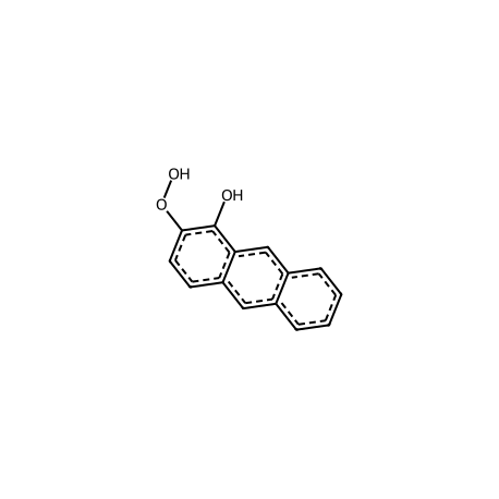 OOc1ccc2cc3ccccc3cc2c1O